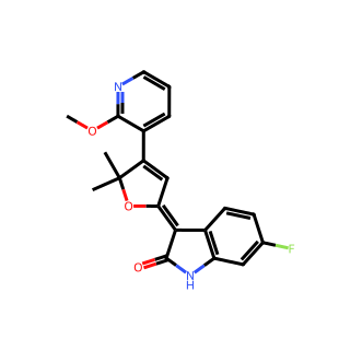 COc1ncccc1C1=CC(=C2C(=O)Nc3cc(F)ccc32)OC1(C)C